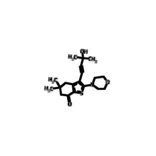 CC(C)(O)C#Cc1c(N2CCOCC2)sc2c1CC(C)(C)CC2=O